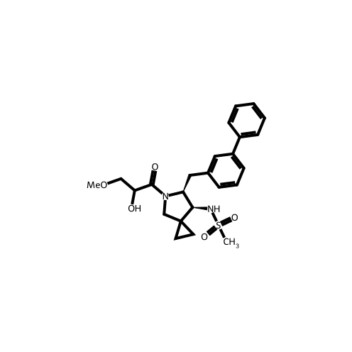 COCC(O)C(=O)N1CC2(CC2)[C@H](NS(C)(=O)=O)[C@@H]1Cc1cccc(-c2ccccc2)c1